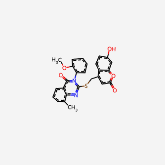 COc1ccccc1-n1c(SCc2cc(=O)oc3cc(O)ccc23)nc2c(C)cccc2c1=O